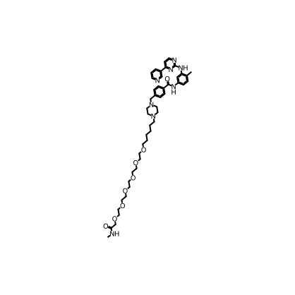 CNC(=O)COCCOCCOCCOCCOCCOCCCCCCN1CCN(Cc2ccc(C(=O)Nc3ccc(C)c(Nc4nccc(-c5cccnc5)n4)c3)cc2)CC1